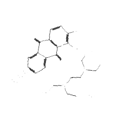 O=C([O-])CN(CCN(CC(=O)[O-])CC(=O)[O-])CC(=O)[O-].O=C1c2ccccc2C(=O)c2c1ccc(O)c2O.[Na+].[Na+].[Na+].[Na+]